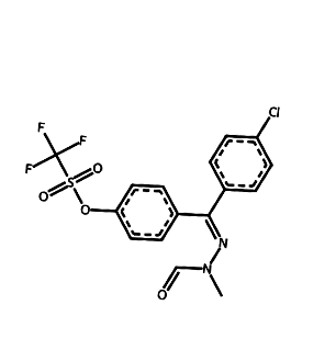 CN(C=O)N=C(c1ccc(Cl)cc1)c1ccc(OS(=O)(=O)C(F)(F)F)cc1